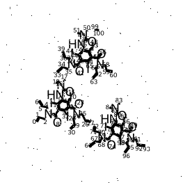 C=CCN(CC=C)C(=O)c1c(I)c(NC(=O)N(C)C)c(I)c(C(=O)N(CC=C)CC=C)c1I.C=CCN(CC=C)C(=O)c1c(I)c(NC(=O)N(C)C)c(I)c(C(=O)N(CC=C)CC=C)c1I.C=CCN(CC=C)C(=O)c1c(I)c(NC(=O)N(C)C)c(I)c(C(=O)N(CC=C)CC=C)c1I.CC